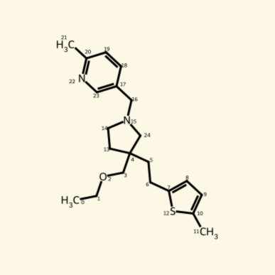 CCOCC1(CCc2ccc(C)s2)CCN(Cc2ccc(C)nc2)C1